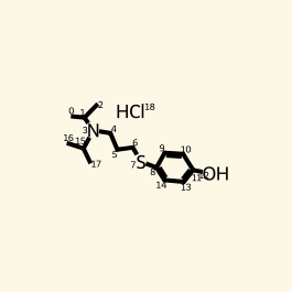 CC(C)N(CCCSc1ccc(O)cc1)C(C)C.Cl